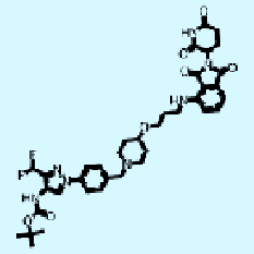 CC(C)(C)OC(=O)Nc1cn(-c2ccc(CN3CCC(OCCCNc4cccc5c4C(=O)N(C4CCC(=O)NC4=O)C5=O)CC3)cc2)nc1C(F)F